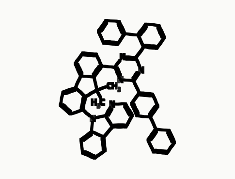 CC1(C)c2c(-c3nc(-c4ccc(-c5ccccc5)cc4)nc(-c4ccccc4-c4ccccc4)n3)cccc2-c2cccc(-n3c4ccccc4c4cccnc43)c21